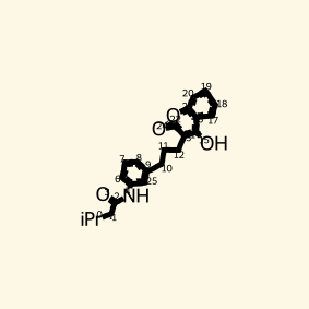 CC(C)[CH]C(=O)Nc1cccc(CCCc2c(O)c3ccccc3oc2=O)c1